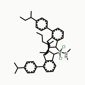 CCCC(C)C1=Cc2c(-c3ccc(C(C)C)cc3)cccc2[CH]1[Zr]([Cl])([Cl])([CH]1C(CC)=Cc2c(-c3ccc(C(C)CC)cc3)cccc21)[SiH](C)C